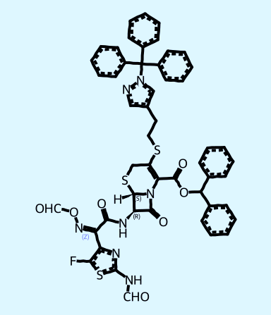 O=CNc1nc(/C(=N/OC=O)C(=O)N[C@@H]2C(=O)N3C(C(=O)OC(c4ccccc4)c4ccccc4)=C(SCCc4cnn(C(c5ccccc5)(c5ccccc5)c5ccccc5)c4)CS[C@@H]23)c(F)s1